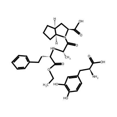 CCOC(=O)[C@H](CCc1ccccc1)N[C@@H](C)C(=O)N1[C@H](C(=O)O)C[C@@H]2CCC[C@@H]21.N[C@@H](Cc1ccc(O)c(O)c1)C(=O)O